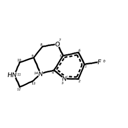 Fc1cnc2c(c1)OCC1CNCCN21